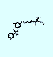 Cc1cc(OCCC=NNC(=N)N)cc(OS(=O)(=O)c2cccnc2)c1